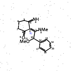 CN/C(=C1\C(=N)CCCC1=O)C(OC)c1ccccc1